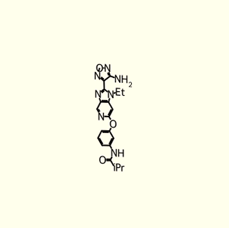 CCn1c(-c2nonc2N)nc2cnc(Oc3cccc(NC(=O)C(C)C)c3)cc21